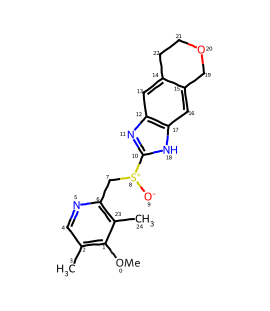 COc1c(C)cnc(C[S+]([O-])c2nc3cc4c(cc3[nH]2)COCC4)c1C